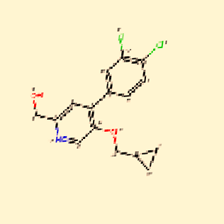 OCc1cc(-c2ccc(Cl)c(Cl)c2)c(OCC2CC2)cn1